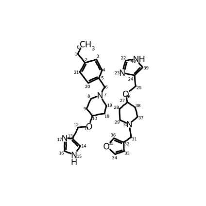 CCc1ccc(CN2CCC(OCc3c[nH]cn3)CC2)cc1.c1nc(COC2CCN(Cc3ccoc3)CC2)c[nH]1